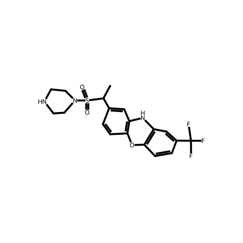 CC(c1ccc2c(c1)Nc1cc(C(F)(F)F)ccc1O2)S(=O)(=O)N1CCNCC1